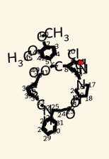 COc1ccc([C@@H]2Cc3c(Cl)cnc(c3Cl)N3CC[C@H](C3)OC(=O)CC(c3ccccc3)NCc3ccc(s3)C(=O)O2)cc1OC